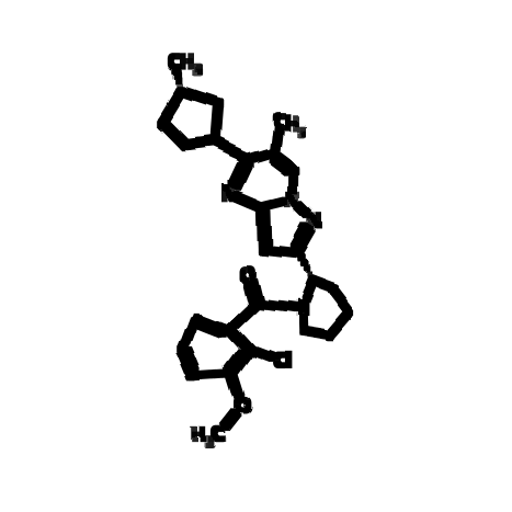 COc1cccc(C(=O)N2CCCC[C@H]2c2cc3nc(C4CC[C@H](C)C4)c(C)cn3n2)c1Cl